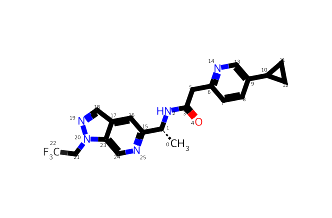 C[C@@H](NC(=O)Cc1ccc(C2CC2)cn1)c1cc2cnn(CC(F)(F)F)c2cn1